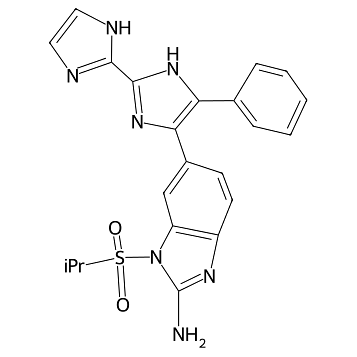 CC(C)S(=O)(=O)n1c(N)nc2ccc(-c3nc(-c4ncc[nH]4)[nH]c3-c3ccccc3)cc21